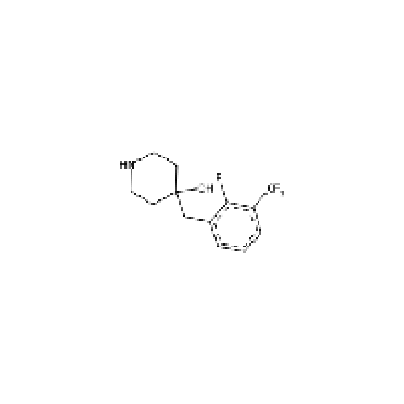 OC1(Cc2cccc(C(F)(F)F)c2F)CCNCC1